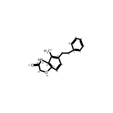 Cc1c(CCc2ccccc2)ccc2c1NC(=O)CO2